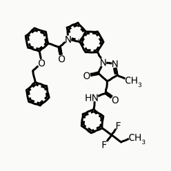 CCC(F)(F)c1cccc(NC(=O)C2C(=O)N(c3ccc4ccn(C(=O)c5ccccc5OCc5ccccc5)c4c3)N=C2C)c1